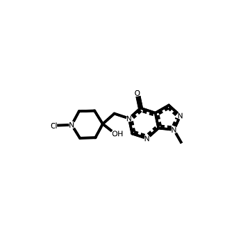 Cn1ncc2c(=O)n(CC3(O)CCN(Cl)CC3)cnc21